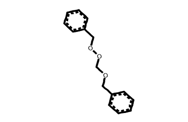 c1ccc(COCOOCc2ccccc2)cc1